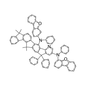 CC1(C)c2ccccc2-c2c1ccc1c2C(C)(C)c2cc3c(c(N(c4ccccc4)c4ccc5c(c4)oc4ccccc45)c2-1)-c1ncc(N(c2ccccc2)c2cccc4c2oc2ccccc24)cc1C3(c1ccccc1)c1ccccc1